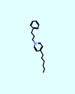 CCCCCCc1cc[n+](CCCc2ccccc2)cc1